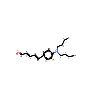 CCCCN(CCCC)c1ccc(/C=C/C=C/C=O)cc1